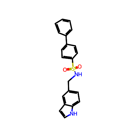 O=S(=O)(NCc1ccc2[nH]ccc2c1)c1ccc(-c2ccccc2)cc1